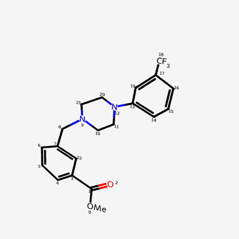 COC(=O)c1cccc(CN2CCN(c3cccc(C(F)(F)F)c3)CC2)c1